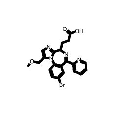 COCc1cnc2n1-c1ccc(Br)cc1C(c1ccccn1)=NC2CCC(=O)O